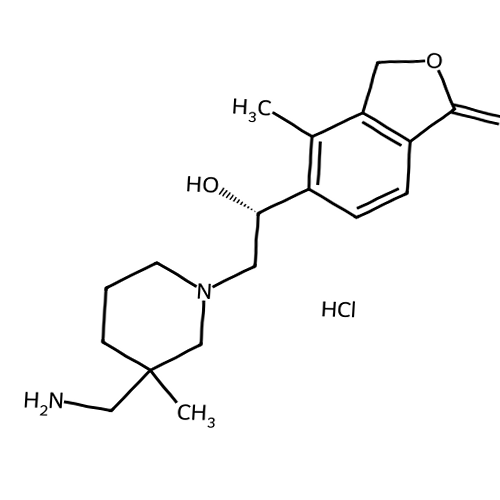 Cc1c([C@@H](O)CN2CCCC(C)(CN)C2)ccc2c1COC2=O.Cl